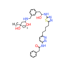 CC(O)(CC(O)NCc1cccc(CC(O)Nc2nnc(CCCCc3ccc(NC(=O)Cc4ccccc4)nn3)s2)c1)C(F)(F)F